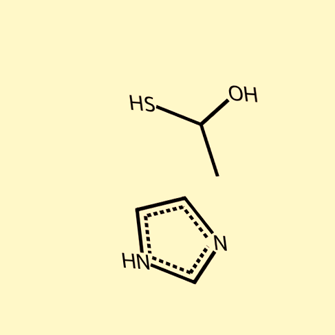 CC(O)S.c1c[nH]cn1